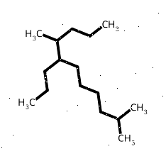 CCCC(C)C(CCC)CCCCC(C)C